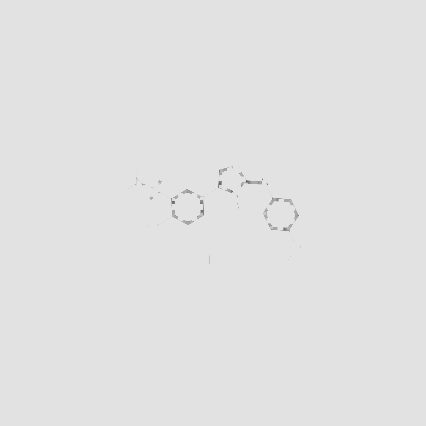 CNS(=O)(=O)c1cc(-c2csc(=Nc3ccc(OC)cc3)n2C)ccc1Cl.Cl